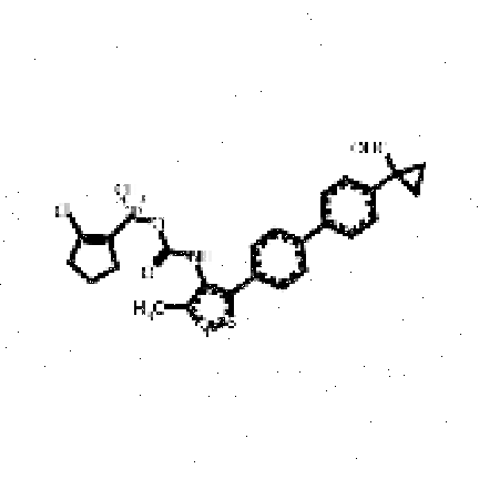 Cc1nsc(-c2ccc(-c3ccc(C4(C=O)CC4)cc3)cc2)c1NC(=O)O[C@@H](C)C1=C(Cl)CCC1